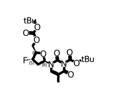 Cc1cn([C@H]2C[C@H](F)[C@@H](COC(=O)OC(C)(C)C)O2)c(=O)n(C(=O)OC(C)(C)C)c1=O